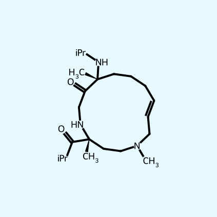 CC(C)N[C@]1(C)CCC/C=C/CN(C)CC[C@](C)(C(=O)C(C)C)NCC1=O